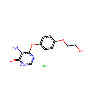 Cl.Nc1c(Oc2ccc(OCCO)cc2)nc[nH]c1=O